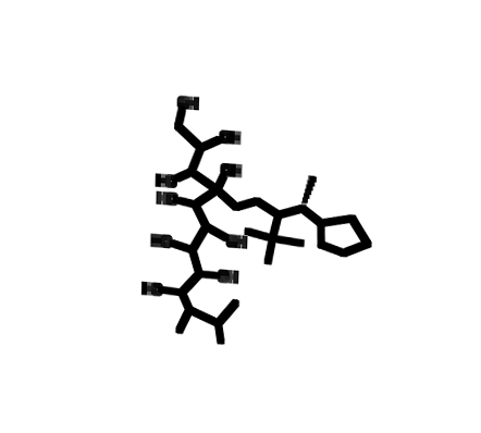 CC(C)C(C)C(O)C(O)C(O)C(O)C(O)C(O)(CCC([C@H](C)C1CCCC1)C(C)(C)C)C(O)C(O)CO